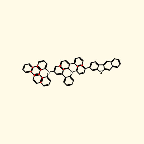 c1ccc(-c2ccccc2-c2cccc(N(c3cccc(-c4ccccc4N(c4ccc(-c5ccc6c(c5)sc5cc7ccccc7cc56)cc4)c4ccccc4-c4ccccc4)c3)c3ccccc3-c3ccccc3)c2)cc1